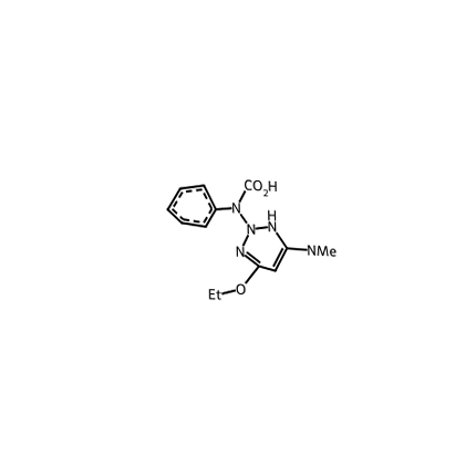 CCOC1=NN(N(C(=O)O)c2ccccc2)NC(NC)=C1